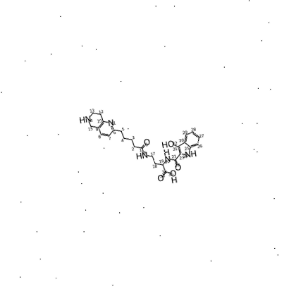 O=C(CCCCc1ccc2c(n1)CCNC2)NCCC(NC(=O)c1[nH]c2ccccc2c1O)C(=O)O